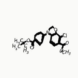 COC(=O)c1ccc2c(c1Cl)OCCN2c1ccc(C(=O)OC(C)(C)C)cc1